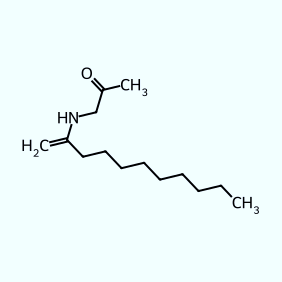 C=C(CCCCCCCCC)NCC(C)=O